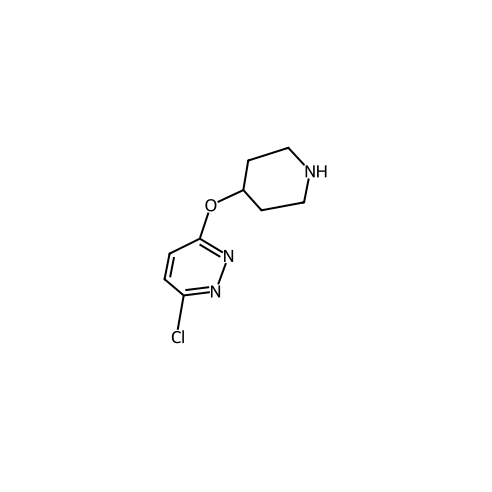 Clc1ccc(OC2CCNCC2)nn1